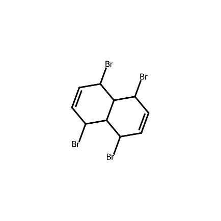 BrC1C=CC(Br)C2C(Br)C=CC(Br)C12